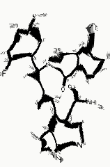 NC(=O)c1cnc2[nH]ccc2c1C#CCC(c1cc(F)ccc1F)N1Cc2c(F)cccc2C1=O